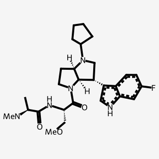 CN[C@@H](C)C(=O)N[C@@H](COC)C(=O)N1CC[C@@H]2[C@H]1[C@@H](c1c[nH]c3cc(F)ccc13)CN2C1CCCC1